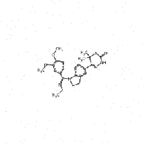 CC/N=C(/c1ccc(OC)c(OC)c1)N1CCc2cc(C3=NNC(=O)SC3(C)C)ccc21